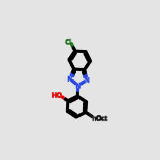 CCCCCCCCc1ccc(O)c(-n2nc3ccc(Cl)cc3n2)c1